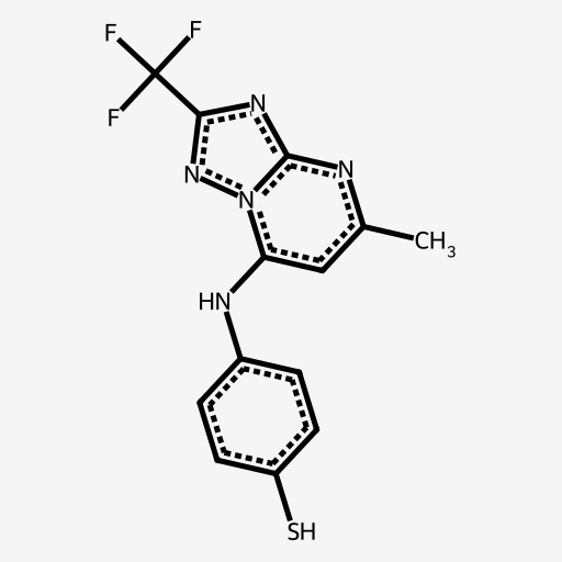 Cc1cc(Nc2ccc(S)cc2)n2nc(C(F)(F)F)nc2n1